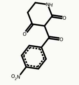 O=C1CCNC(=O)C1C(=O)c1ccc([N+](=O)[O-])cc1